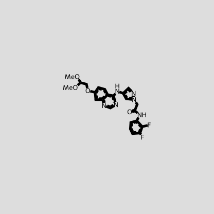 COC(COc1ccc2c(Nc3cnn(CC(=O)Nc4cccc(F)c4F)c3)ncnc2c1)OC